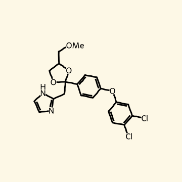 COCC1COC(Cc2ncc[nH]2)(c2ccc(Oc3ccc(Cl)c(Cl)c3)cc2)O1